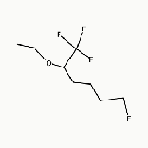 CCOC(CCCCF)C(F)(F)F